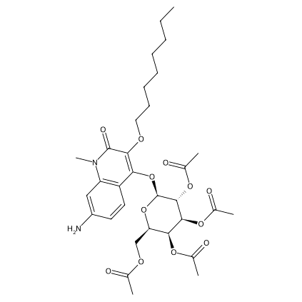 CCCCCCCCOc1c(O[C@@H]2O[C@H](COC(C)=O)[C@H](OC(C)=O)[C@H](OC(C)=O)[C@H]2OC(C)=O)c2ccc(N)cc2n(C)c1=O